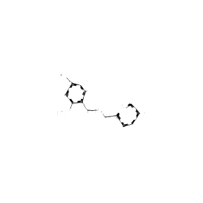 Cc1cc(F)ccc1CNCc1ccccc1